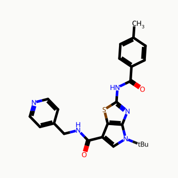 Cc1ccc(C(=O)Nc2nc3c(s2)c(C(=O)NCc2ccncc2)cn3C(C)(C)C)cc1